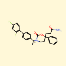 C[C@@H](c1ccc(-c2ccc(F)cc2F)cc1)N1CCC(CCC(N)=O)(c2ccccc2)OC1=O